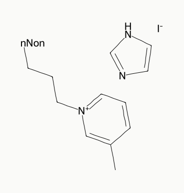 CCCCCCCCCCCC[n+]1cccc(C)c1.[I-].c1c[nH]cn1